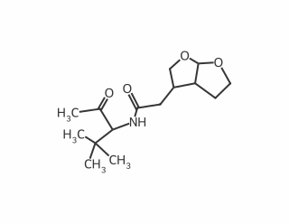 CC(=O)C(NC(=O)CC1COC2OCCC12)C(C)(C)C